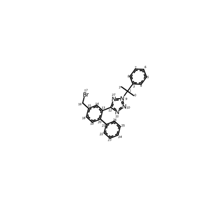 CC(C)(c1ccccc1)n1nnc(-c2cc(CBr)ccc2-c2ccccc2)n1